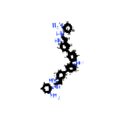 NC1CCCCC1Nc1cc2cc(-c3ccc4[nH]c5ccc(-c6ccc7[nH]c(NC8CCCCC8N)cc7c6)cc5c4c3)ccc2[nH]1